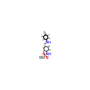 CC(C)(C)S(=O)(=O)N[C@H]1CC[C@H](CNc2ccc(F)cc2)CC1